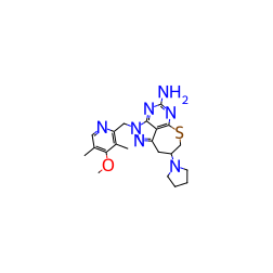 COc1c(C)cnc(Cn2nc3c4c(nc(N)nc42)SCC(N2CCCC2)C3)c1C